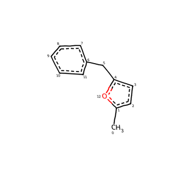 Cc1ccc(Cc2ccccc2)o1